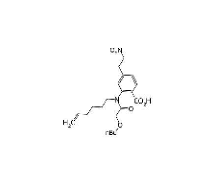 C=CCCCCN(C(=O)COCCCC)c1cc(CC[N+](=O)[O-])ccc1C(=O)O